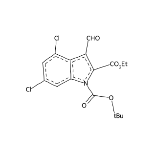 CCOC(=O)c1c(C=O)c2c(Cl)cc(Cl)cc2n1C(=O)OC(C)(C)C